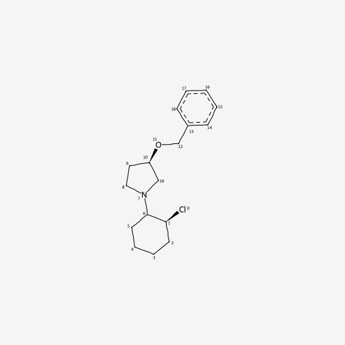 Cl[C@H]1CCCCC1N1CC[C@@H](OCc2ccccc2)C1